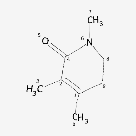 CC1=C(C)C(=O)N(C)CC1